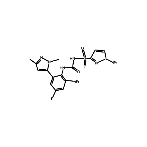 Cc1cc(-c2cc(F)cc(C(C)C)c2NC(=O)NS(=O)(=O)c2ccn(C(C)C)n2)n(C)n1